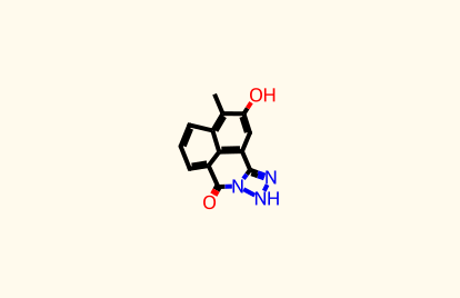 Cc1c(O)cc2c3c1cccc3c(=O)n1[nH]nc21